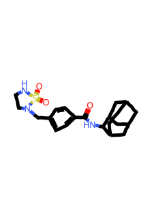 O=C(NC1C2CC3CC(C2)CC1C3)c1ccc(CN2CCNS2(=O)=O)cc1